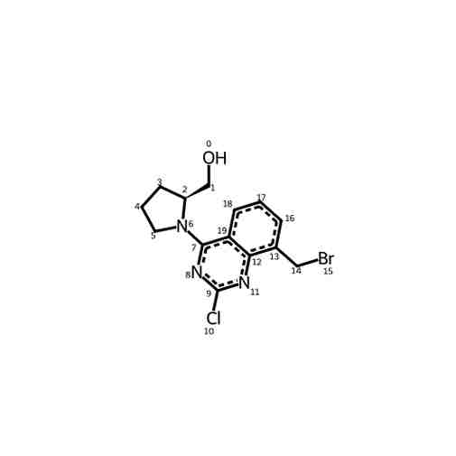 OC[C@@H]1CCCN1c1nc(Cl)nc2c(CBr)cccc12